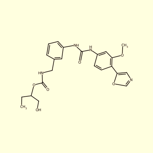 CCC(CO)OC(=O)NCc1cccc(NC(=O)Nc2ccc(-c3cnco3)c(OC)c2)c1